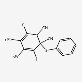 CCCC1=C(F)C(C#N)C(C#N)(Sc2ccccc2)C(F)=C1CCC